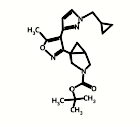 Cc1onc(C23CC2CN(C(=O)OC(C)(C)C)C3)c1-c1ccn(CC2CC2)n1